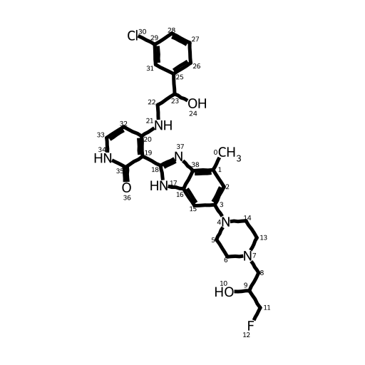 Cc1cc(N2CCN(CC(O)CF)CC2)cc2[nH]c(-c3c(NCC(O)c4cccc(Cl)c4)cc[nH]c3=O)nc12